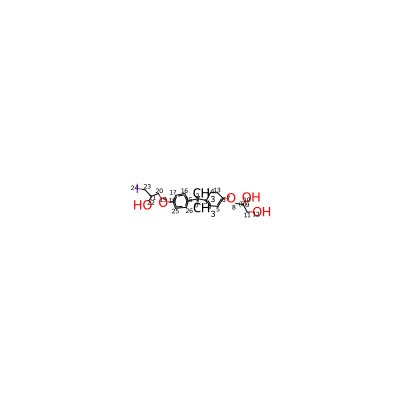 CC(C)(C1=CC=C(OC[C@@H](O)CO)CC1)c1ccc(OCC(O)CI)cc1